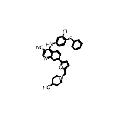 N#Cc1cnc2cc(-c3ccc(CN4CCC(O)CC4)o3)ccc2c1Nc1ccc(Sc2ccccc2)c(Cl)c1